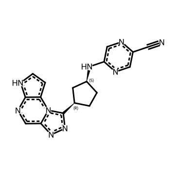 N#Cc1cnc(N[C@H]2CC[C@@H](c3nnc4cnc5[nH]ccc5n34)C2)cn1